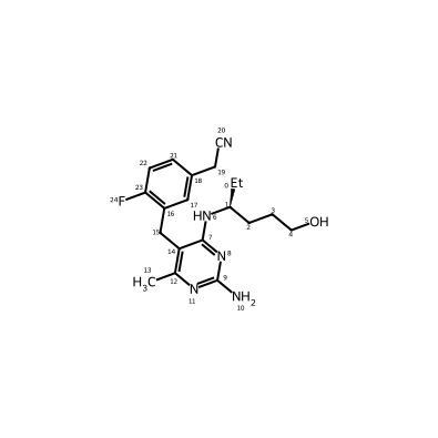 CC[C@@H](CCCO)Nc1nc(N)nc(C)c1Cc1cc(CC#N)ccc1F